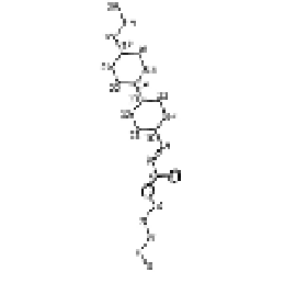 CCCCCOC(=O)/C=C/C1CCC(C2CCC(CCC)CC2)CC1